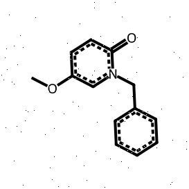 COc1ccc(=O)n(Cc2ccccc2)c1